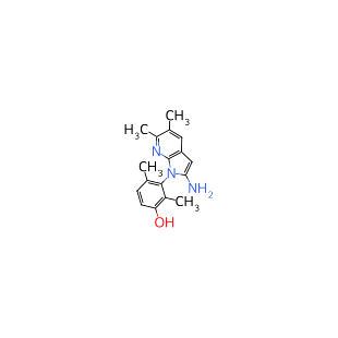 Cc1cc2cc(N)n(-c3c(C)ccc(O)c3C)c2nc1C